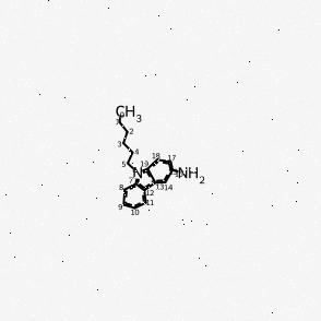 CCCCCCn1c2ccccc2c2cc(N)ccc21